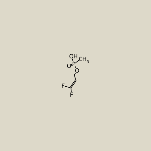 CP(=O)(O)OCC=C(F)F